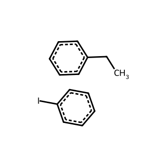 CCc1ccccc1.Ic1ccccc1